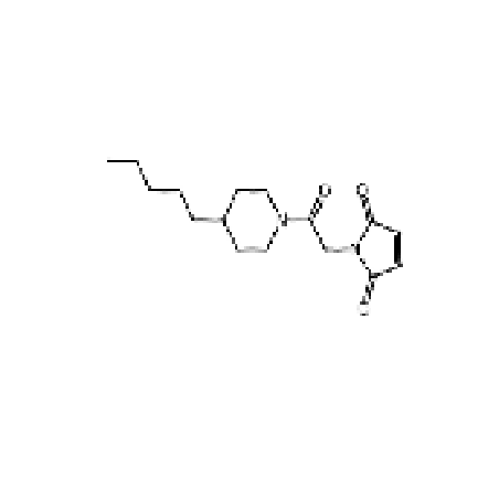 CCCCCC1CCN(C(=O)CN2C(=O)C=CC2=O)CC1